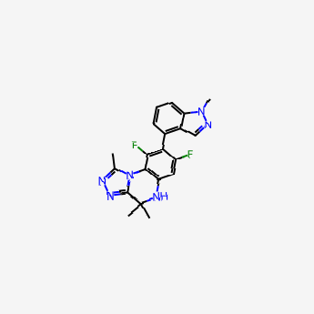 Cc1nnc2n1-c1c(cc(F)c(-c3cccc4c3cnn4C)c1F)NC2(C)C